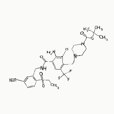 CCS(=O)(=O)c1ccc(C#N)cc1CNC(=O)c1cc(C(F)(F)F)c(CN2CCN(C(=O)OC(C)(C)C)CC2)c(Cl)c1N